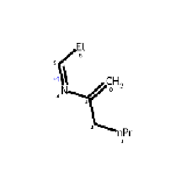 C=C(CCCC)/N=C\CC